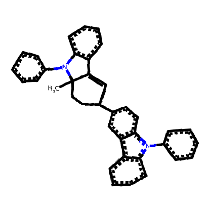 CC12CCC(c3ccc4c(c3)c3ccccc3n4-c3ccccc3)C=C1c1ccccc1N2c1ccccc1